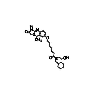 CC1c2cc(OCCCCCCC(=O)N(CCO)CC3CCCCC3)ccc2N=C2NC(=O)CN21